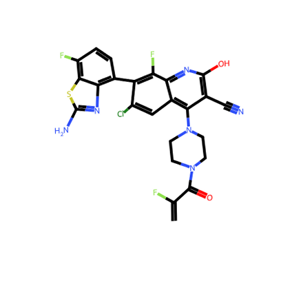 C=C(F)C(=O)N1CCN(c2c(C#N)c(O)nc3c(F)c(-c4ccc(F)c5sc(N)nc45)c(Cl)cc23)CC1